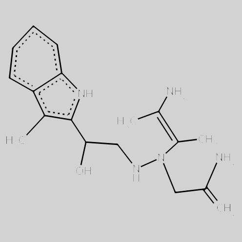 C=C(N)CN(NCC(O)c1[nH]c2ccccc2c1C)/C(C)=C(\C)N